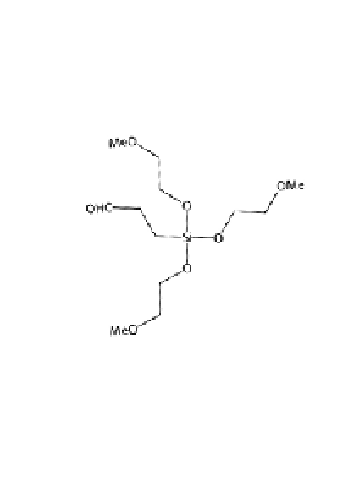 COCCO[Si](CCC=O)(OCCOC)OCCOC